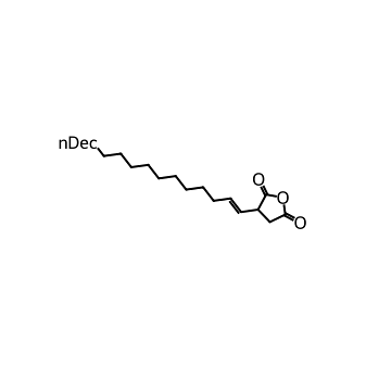 CCCCCCCCCCCCCCCCCCCC=CC1CC(=O)OC1=O